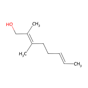 C/C=C/CC/C(C)=C(\C)CO